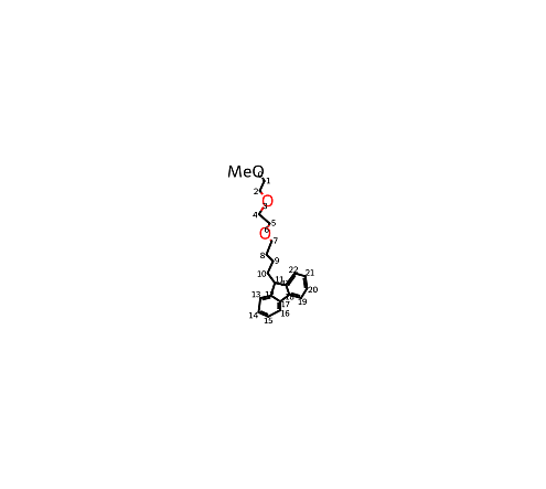 COCCOCCOCCCCC1c2ccccc2-c2ccccc21